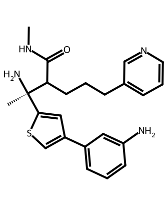 CNC(=O)C(CCCc1cccnc1)[C@](C)(N)c1cc(-c2cccc(N)c2)cs1